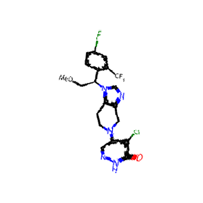 COC[C@@H](c1ccc(F)cc1C(F)(F)F)n1cnc2c1CCN(c1cn[nH]c(=O)c1Cl)C2